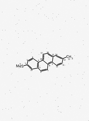 CSc1ccc2c(ccc3c4ccc(C)cc4ccc23)c1